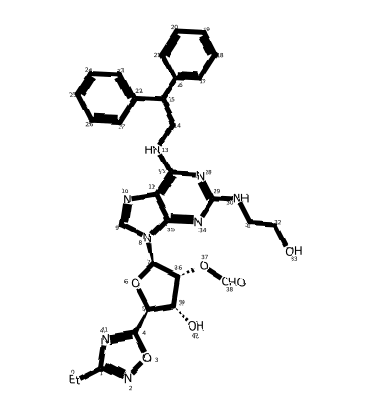 CCc1noc([C@H]2O[C@@H](n3cnc4c(NCC(c5ccccc5)c5ccccc5)nc(NCCO)nc43)[C@H](OC=O)[C@@H]2O)n1